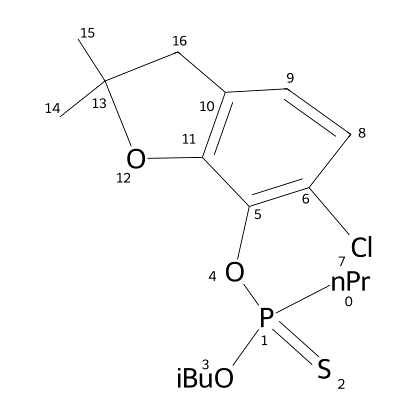 CCCP(=S)(OCC(C)C)Oc1c(Cl)ccc2c1OC(C)(C)C2